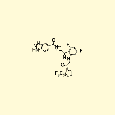 O=C(c1ccc2[nH]nnc2c1)N1CC(c2nn(CC(=O)N3CCC[C@H]3C(F)(F)F)c3cc(F)cc(F)c23)C1